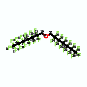 FC(F)(F)C(F)(F)C(F)(F)C(F)(F)C(F)(F)C(F)(F)COCC(F)(F)C(F)(F)C(F)(F)C(F)(F)C(F)(F)C(F)(F)F